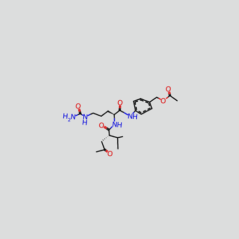 CC(=O)C[C@H](C(=O)N[C@@H](CCCNC(N)=O)C(=O)Nc1ccc(COC(C)=O)cc1)C(C)C